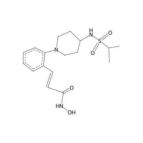 CC(C)S(=O)(=O)NC1CCN(c2ccccc2C=CC(=O)NO)CC1